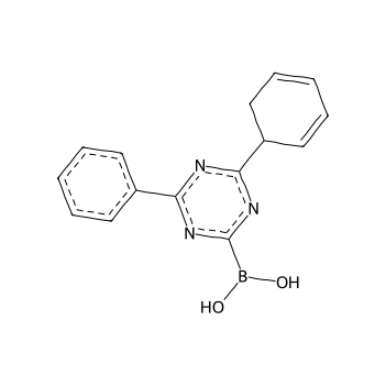 OB(O)c1nc(-c2ccccc2)nc(C2C=CC=CC2)n1